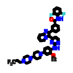 CCOc1cc(N2CCC(N3CCN(CCC(F)(F)F)CC3)CC2)ccc1Nc1nccc(-c2c(-c3cccc(C(=O)Nc4c(F)cccc4F)c3)nc3ccccn23)n1